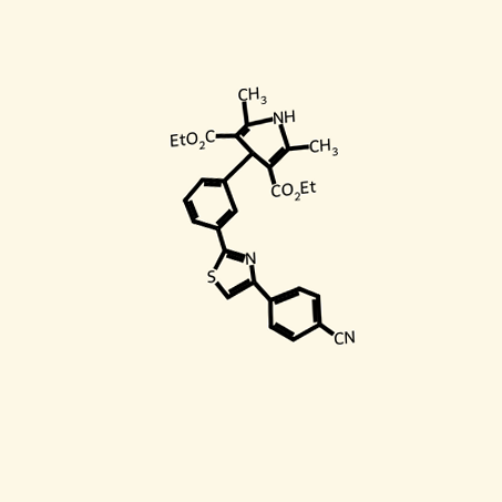 CCOC(=O)C1=C(C)NC(C)=C(C(=O)OCC)C1c1cccc(-c2nc(-c3ccc(C#N)cc3)cs2)c1